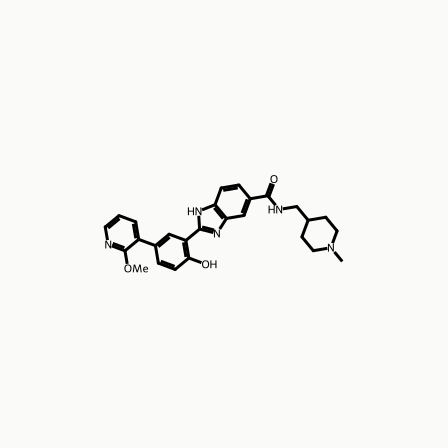 COc1ncccc1-c1ccc(O)c(-c2nc3cc(C(=O)NCC4CCN(C)CC4)ccc3[nH]2)c1